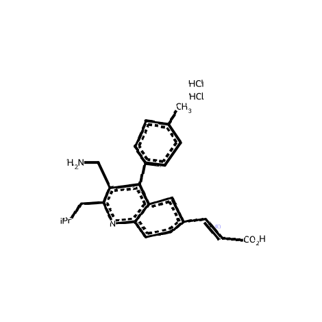 Cc1ccc(-c2c(CN)c(CC(C)C)nc3ccc(/C=C/C(=O)O)cc23)cc1.Cl.Cl